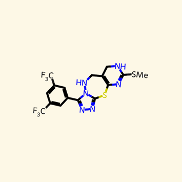 CSC1=NC2=C(CN1)CNn1c(nnc1-c1cc(C(F)(F)F)cc(C(F)(F)F)c1)S2